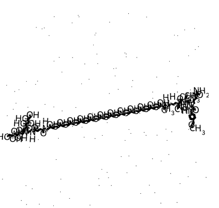 CN[C@@H](CCCCNC(=O)C(O)COCC(O)COCC(O)COCC(O)COCC(O)COCC(O)COCC(O)COCC(O)COCC(O)COCC(O)COCC(O)COCC(O)CNC(=O)CCC(=O)NCCN(C[C@H](O)[C@@H](O)[C@H](O)[C@H](O)CO)C[C@H](O)[C@@H](O)[C@H](O)[C@H](O)CO)C(=O)N[C@H](C(=O)N[C@@H](CCCNC(N)=O)C(=O)Nc1ccc(COC)cc1)C(C)C